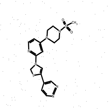 CS(=O)(=O)N1CCN(c2ccnc(N3C=C(c4ccnnc4)SC3)c2)CC1